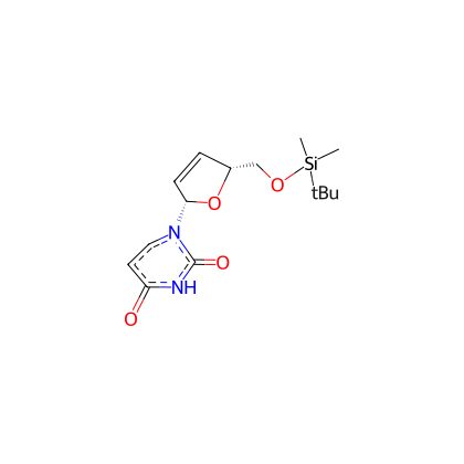 CC(C)(C)[Si](C)(C)OC[C@H]1C=C[C@@H](n2ccc(=O)[nH]c2=O)O1